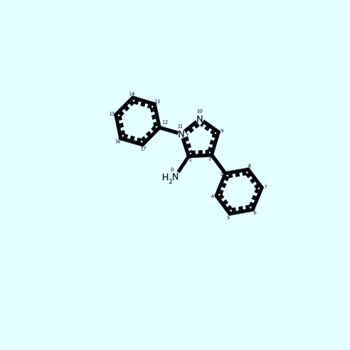 Nc1c(-c2ccccc2)cnn1-c1ccccc1